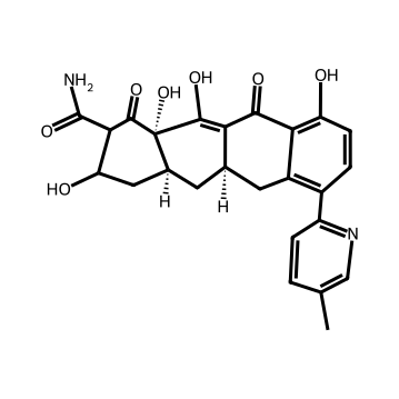 Cc1ccc(-c2ccc(O)c3c2C[C@H]2C[C@H]4CC(O)C(C(N)=O)C(=O)[C@@]4(O)C(O)=C2C3=O)nc1